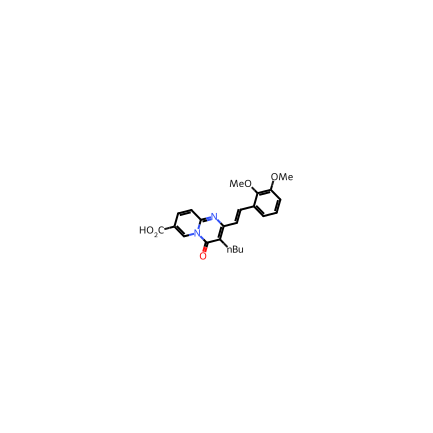 CCCCc1c(C=Cc2cccc(OC)c2OC)nc2ccc(C(=O)O)cn2c1=O